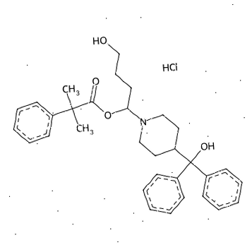 CC(C)(C(=O)OC(CCCO)N1CCC(C(O)(c2ccccc2)c2ccccc2)CC1)c1ccccc1.Cl